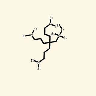 CCO[Si](CC)(CC)CC(CCCN(CC)CC)(CCCN(CC)CC)CCCN(CC)CC